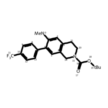 CNc1cc2c(cc1-c1ccc(C(F)(F)F)cc1)CN(C(=O)OC(C)(C)C)CC2